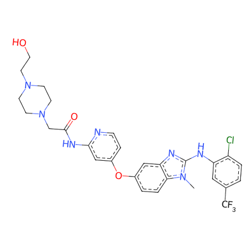 Cn1c(Nc2cc(C(F)(F)F)ccc2Cl)nc2cc(Oc3ccnc(NC(=O)CN4CCN(CCO)CC4)c3)ccc21